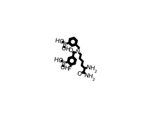 NC(=O)C(N)CCCCN(Cc1cccc(B(O)O)c1)C(=O)c1ccc(F)c(B(O)O)c1